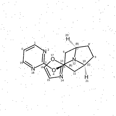 c1cnc(O[C@H]2C[C@H]3CC[C@@H](C2)N3c2ncco2)nc1